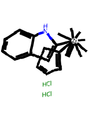 Cl.Cl.[CH2]=[Zr]([CH3])([CH3])([CH3])([CH3])([CH3])([CH3])([C]1=CC=CC1)[c]1cc2ccccc2[nH]1